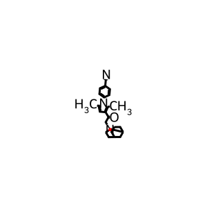 Cc1cc(C(=O)CN2C3CC4CC(C3)CC2C4)c(C)n1-c1ccc(C#N)cc1